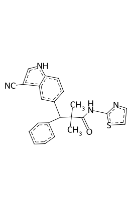 CC(C)(C(=O)Nc1nccs1)C(c1ccccc1)c1ccc2[nH]cc(C#N)c2c1